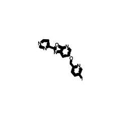 Ic1ccc(COc2cnc3oc(-c4ccncn4)nc3c2)nc1